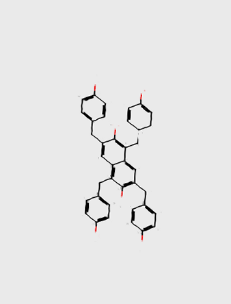 OC1=CC[C@@H](Cc2c(O)c(Cc3ccc(O)cc3)cc3c(Cc4ccc(O)cc4)c(O)c(Cc4ccc(O)cc4)cc23)C=C1